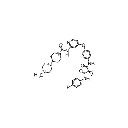 CN1CCN(C2CCN(C(=O)Nc3cc(Oc4ccc(NC(=O)C5(C(=O)Nc6ccc(F)cc6)CC5)cc4)ccn3)CC2)CC1